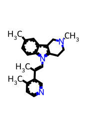 CC(=Cn1c2c(c3cc(C)ccc31)CN(C)CC2)c1cnccc1C